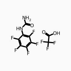 NC(=O)Nc1c(F)c(F)c(F)c(F)c1F.O=C(O)C(F)(F)F